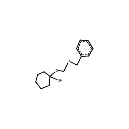 OC1(OCOCc2ccccc2)CCCCC1